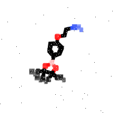 CC1(C)OB(c2ccc(OCCN)cc2)OC1(C)C